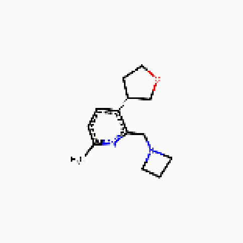 Cc1ccc([C@@H]2CCOC2)c(CN2CCC2)n1